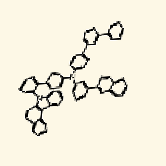 c1ccc(-c2cccc(-c3ccc(N(c4ccc(-c5ccccc5-n5c6ccccc6c6c7ccccc7ccc65)cc4)c4cccc(-c5ccc6ccccc6c5)c4)cc3)c2)cc1